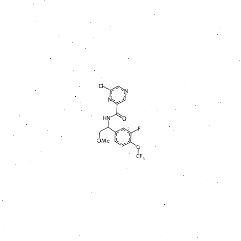 COCC(NC(=O)c1cncc(Cl)n1)c1ccc(OC(F)(F)F)c(F)c1